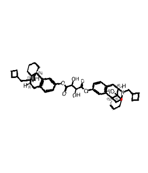 O=C(Oc1ccc2c(c1)[C@@]13CCCC[C@@]1(O)[C@@H](C2)N(CC1CCC1)CC3)C(O)C(O)C(=O)Oc1ccc2c(c1)[C@@]13CCCC[C@@]1(O)[C@@H](C2)N(CC1CCC1)CC3